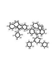 c1ccc(-c2cc(-c3ccccc3)cc(N(c3ccc(-c4ccc5c6ccc7ccccc7c6n(-c6ccccc6)c5c4)cc3)c3cccc4oc5ccccc5c34)c2)cc1